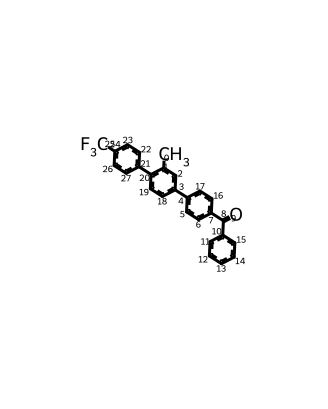 Cc1cc(-c2ccc(C(=O)c3ccccc3)cc2)ccc1-c1ccc(C(F)(F)F)cc1